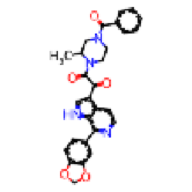 CC1CN(C(=O)c2ccccc2)CCN1C(=O)C(=O)c1c[nH]c2c(-c3ccc4c(c3)OCO4)nccc12